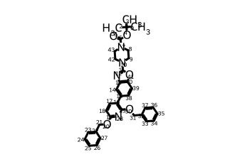 CC(C)(C)OC(=O)N1CCN(c2nc3cc(-c4ccc(OCc5ccccc5)nc4OCc4ccccc4)ccc3o2)CC1